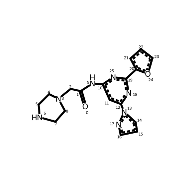 O=C(CN1CCNCC1)Nc1cc(-n2cccn2)nc(-c2ccco2)n1